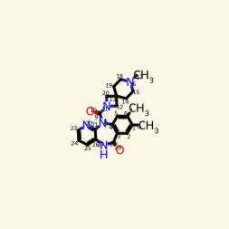 Cc1cc2c(cc1C)N(C(=O)N1CC3(CCN(C)CC3)C1)c1ncccc1NC2=O